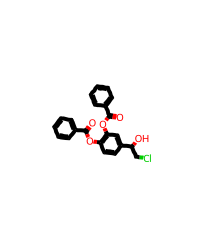 O=C(Oc1ccc(C(O)CCl)cc1OC(=O)c1ccccc1)c1ccccc1